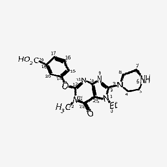 CCn1c(N2CCNCC2)nc2nc(Oc3cccc(C(=O)O)c3)n(C)c(=O)c21